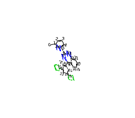 Cc1cccc(-c2nc(-c3cc(Cl)cc(Cl)c3)c3ccccc3n2)n1